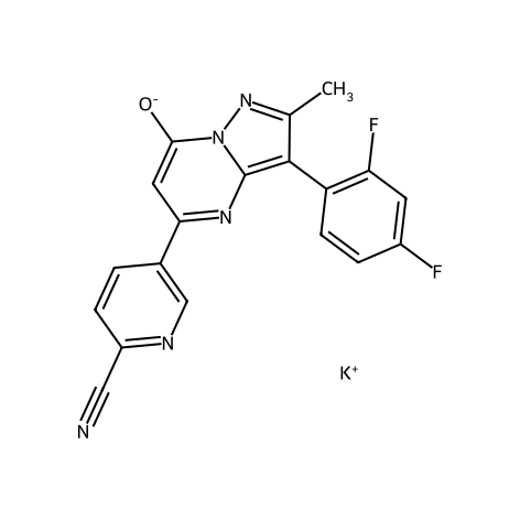 Cc1nn2c([O-])cc(-c3ccc(C#N)nc3)nc2c1-c1ccc(F)cc1F.[K+]